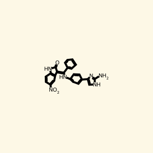 Nc1nc(-c2ccc(NC(=C3C(=O)Nc4ccc([N+](=O)[O-])cc43)c3ccccc3)cc2)c[nH]1